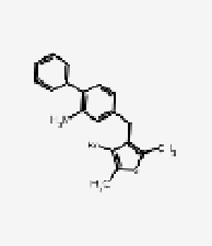 Cc1sc(C)c(Cc2ccc(-c3ccccc3)c(N)c2)c1Br